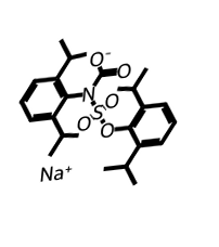 CC(C)c1cccc(C(C)C)c1OS(=O)(=O)N(C(=O)[O-])c1c(C(C)C)cccc1C(C)C.[Na+]